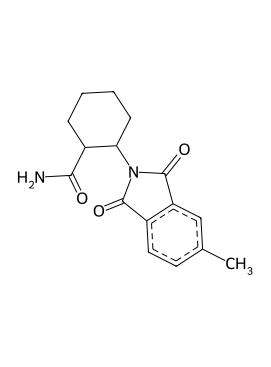 Cc1ccc2c(c1)C(=O)N(C1CCCCC1C(N)=O)C2=O